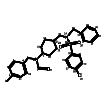 Cc1ccc(CN(C=O)C2CCC(CN(Cc3ccccc3)S(=O)(=O)c3ccc(Cl)cc3)CC2)cc1